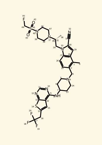 Cc1c(CN2CCC(Nc3ncnc4sc(CC(F)(F)F)cc34)CC2)ccc2c1cc(C#N)n2C[C@@H](C)N1CCN(S(=O)(=O)CF)CC1